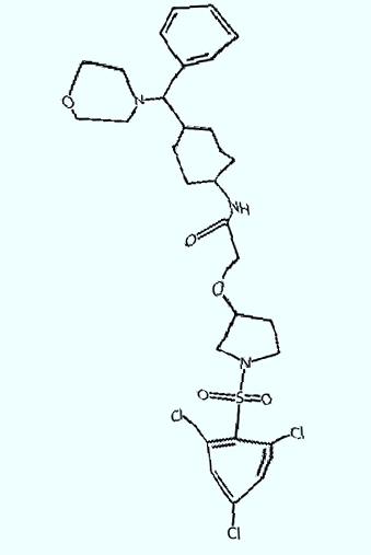 O=C(COC1CCN(S(=O)(=O)c2c(Cl)cc(Cl)cc2Cl)C1)NC1CCC(C(c2ccccc2)N2CCOCC2)CC1